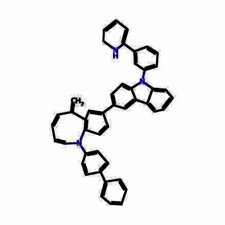 C=C1/C=C\C=C/N(c2ccc(-c3ccccc3)cc2)c2ccc(-c3ccc4c(c3)c3ccccc3n4-c3cccc(C4=CC=CCN4)c3)cc21